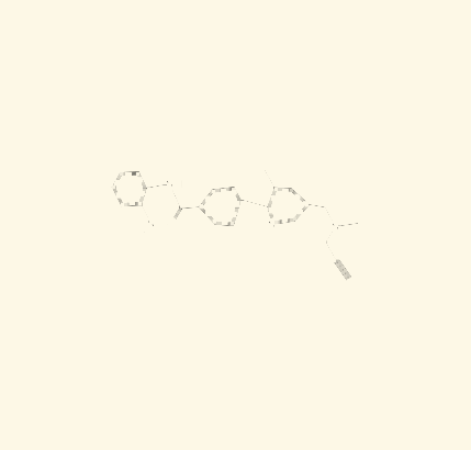 C#CCN(C)Cc1cnc(-c2ccc(C(=O)Nc3ccccc3N)cc2)c(C)c1